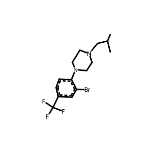 C[C](C)CN1CCN(c2ccc(C(F)(F)F)cc2Br)CC1